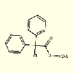 CCCCCCCCOC(=O)C(Cl)(c1ccccc1)c1ccccc1